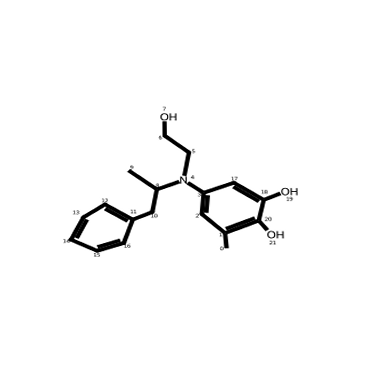 Cc1cc(N(CCO)C(C)Cc2ccccc2)cc(O)c1O